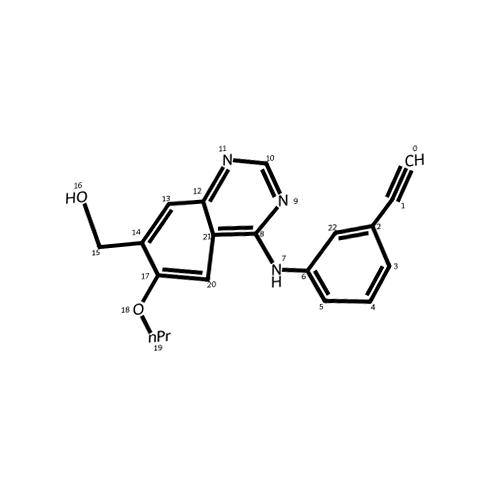 C#Cc1cccc(Nc2ncnc3cc(CO)c(OCCC)cc23)c1